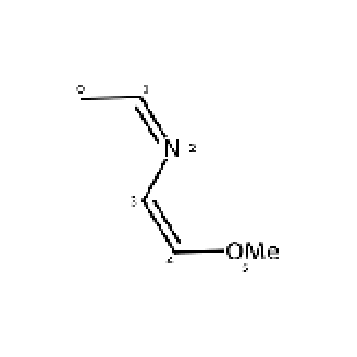 C/C=N\C=C/OC